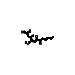 CCCCCNC(=O)/N=C(/N)N(C)CC(=O)O